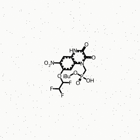 CCC(C)OP(=O)(O)Cn1c(=O)c(=O)[nH]c2cc([N+](=O)[O-])c(OC(F)C(F)F)cc21